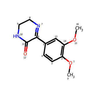 COc1ccc(C2=NCCNC2=O)cc1OC